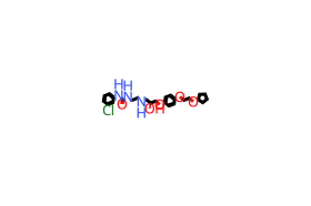 O=C(NCCNC[C@H](O)COc1ccc(OCCOC2CCCC2)cc1)Nc1cccc(Cl)c1